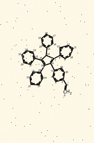 C=Cc1ccc(C2=C(c3ccccc3)C(c3ccccc3)C(c3ccccc3)=C2c2ccccc2)cc1